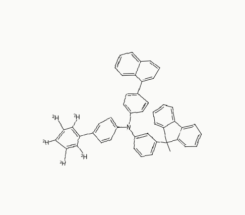 [2H]c1c([2H])c([2H])c(-c2ccc(N(c3ccc(-c4cccc5ccccc45)cc3)c3cccc(C4(C)c5ccccc5-c5ccccc54)c3)cc2)c([2H])c1[2H]